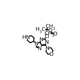 CC(C)(C)OC=O.Clc1nc(N2CCOCC2)c2ncn(C3CCNCC3)c2n1